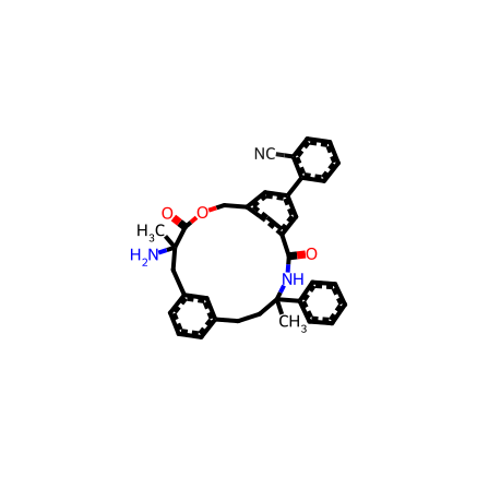 CC1(N)Cc2cccc(c2)CCC(C)(c2ccccc2)NC(=O)c2cc(cc(-c3ccccc3C#N)c2)COC1=O